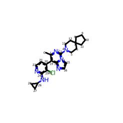 Cc1nc(N2CCC3(CCCC3)CC2)n2ccnc2c1-c1ccnc(NC2CC2)c1Cl